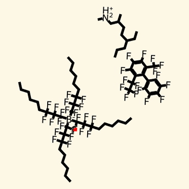 CCCC(CC)CCC(C)C[NH2+]C.CCCCCCC(F)(F)C(F)(F)C(F)(F)[B-](C(F)(F)C(F)(F)C(F)(F)CCCCCC)(C(F)(F)C(F)(F)C(F)(F)CCCCCC)C(F)(F)C(F)(F)C(F)(F)CCCCCC.Fc1c(F)c(F)c(-c2c(C(F)(F)F)c(F)c(F)c(F)c2C(F)(F)C(F)(F)F)c(F)c1F